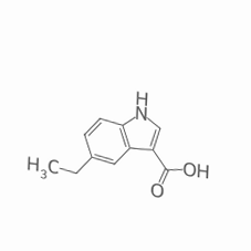 CCc1ccc2[nH]cc(C(=O)O)c2c1